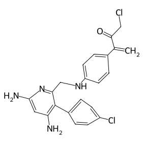 C=C(C(=O)CCl)c1ccc(NCc2nc(N)cc(N)c2-c2ccc(Cl)cc2)cc1